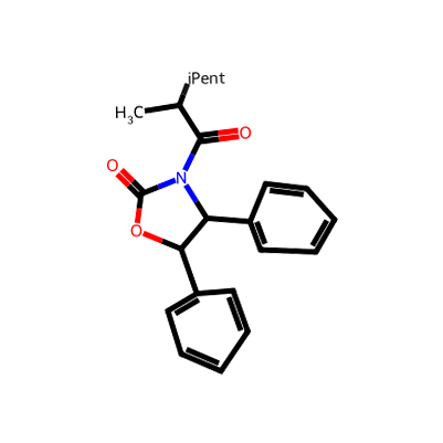 CCCC(C)C(C)C(=O)N1C(=O)OC(c2ccccc2)C1c1ccccc1